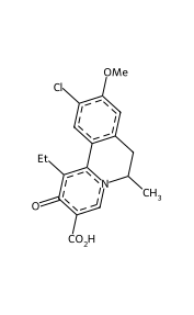 CCc1c2n(cc(C(=O)O)c1=O)C(C)Cc1cc(OC)c(Cl)cc1-2